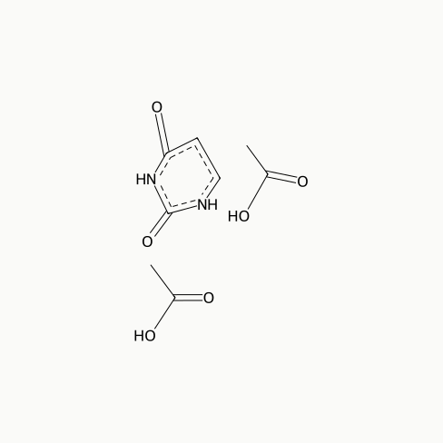 CC(=O)O.CC(=O)O.O=c1cc[nH]c(=O)[nH]1